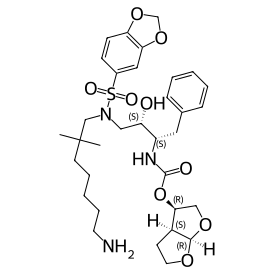 CC(C)(CCCCCN)CN(C[C@H](O)[C@H](Cc1ccccc1)NC(=O)O[C@H]1CO[C@H]2OCC[C@H]21)S(=O)(=O)c1ccc2c(c1)OCO2